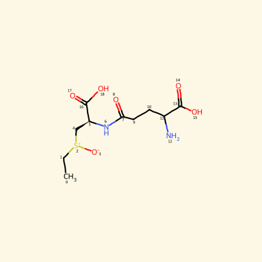 CC[S+]([O-])C[C@H](NC(=O)CCC(N)C(=O)O)C(=O)O